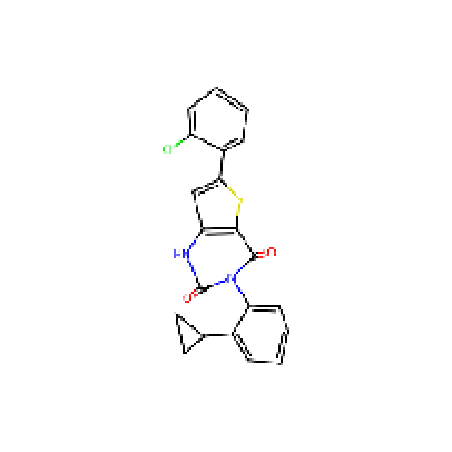 O=c1[nH]c2cc(-c3ccccc3Cl)sc2c(=O)n1-c1ccccc1C1CC1